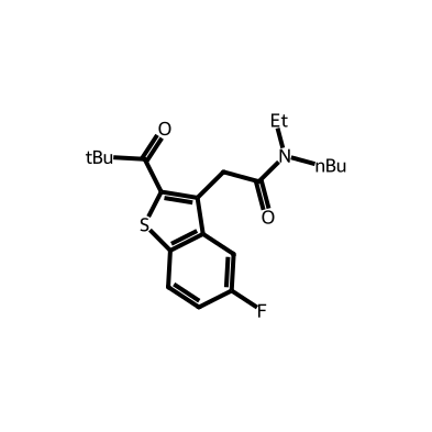 CCCCN(CC)C(=O)Cc1c(C(=O)C(C)(C)C)sc2ccc(F)cc12